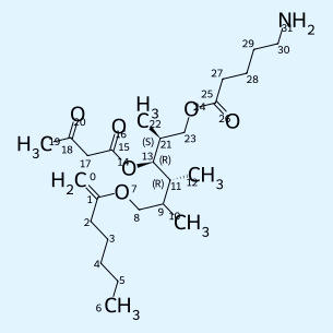 C=C(CCCCC)OCC(C)[C@@H](C)[C@@H](OC(=O)CC(C)=O)[C@@H](C)COC(=O)CCCCN